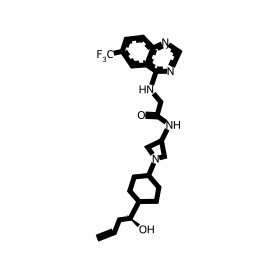 C=CC[C@H](O)C1CCC(N2CC(NC(=O)CNc3ncnc4ccc(C(F)(F)F)cc34)C2)CC1